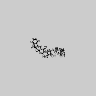 Cn1nc(Cn2c(=O)ccn([C@@H]3O[C@H](COP(=O)(O)CP(=O)(O)O)C(O)[C@@H]3O)c2=O)c2ccccc21